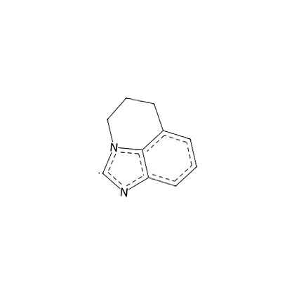 [c]1nc2cccc3c2n1CCC3